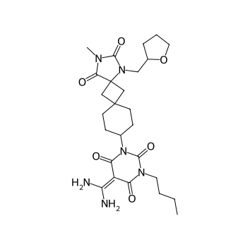 CCCCN1C(=O)C(=C(N)N)C(=O)N(C2CCC3(CC2)CC2(C3)C(=O)N(C)C(=O)N2CC2CCCO2)C1=O